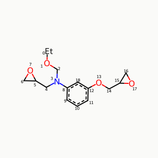 CCOCN(CC1CO1)c1cccc(OCC2CO2)c1